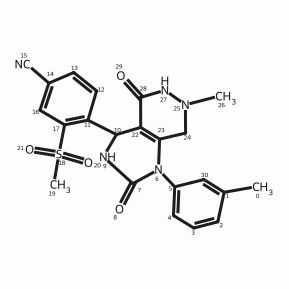 Cc1cccc(N2C(=O)NC(c3ccc(C#N)cc3S(C)(=O)=O)C3=C2CN(C)NC3=O)c1